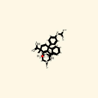 CC1(C(=O)O)C=CC(c2ccc(OC(F)F)cc2)(c2ccccc2C2CN(F)CCO2)C(C(=O)O)=C1N